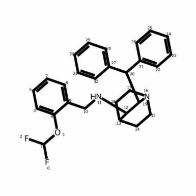 FC(F)Oc1ccccc1CNC1C2CCN(CC2)C1C(c1ccccc1)c1ccccc1